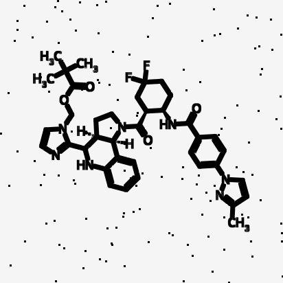 Cc1ccn(-c2ccc(C(=O)N[C@@H]3CCC(F)(F)C[C@@H]3C(=O)N3CC[C@@H]4C(c5nccn5COC(=O)C(C)(C)C)Nc5ccccc5[C@@H]43)cc2)n1